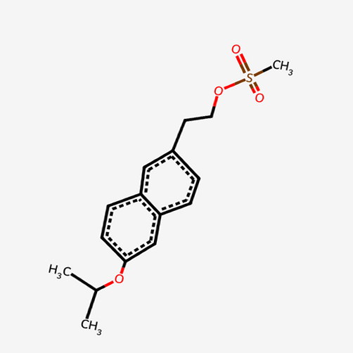 CC(C)Oc1ccc2cc(CCOS(C)(=O)=O)ccc2c1